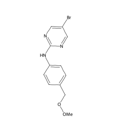 COOCc1ccc(Nc2ncc(Br)cn2)cc1